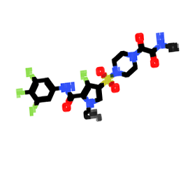 CCNC(=O)C(=O)N1CCN(S(=O)(=O)c2cn(C)c(C(=O)Nc3cc(F)c(F)c(F)c3)c2F)CC1